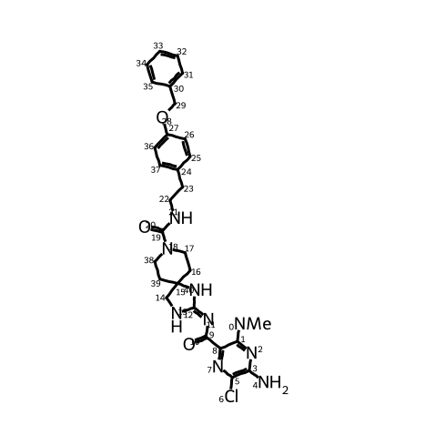 CNc1nc(N)c(Cl)nc1C(=O)/N=C1\NCC2(CCN(C(=O)NCCc3ccc(OCc4ccccc4)cc3)CC2)N1